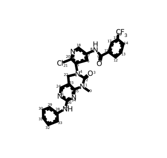 CN1C(=O)N(c2cc(NC(=O)c3cccc(C(F)(F)F)c3)cnc2Cl)Cc2cnc(Nc3ccccc3)nc21